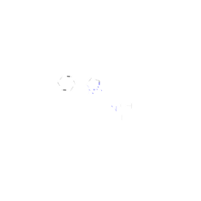 CN(C)CCn1ccc(-c2cc[c]cc2)n1